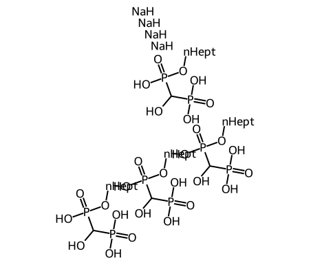 CCCCCCCOP(=O)(O)C(O)P(=O)(O)O.CCCCCCCOP(=O)(O)C(O)P(=O)(O)O.CCCCCCCOP(=O)(O)C(O)P(=O)(O)O.CCCCCCCOP(=O)(O)C(O)P(=O)(O)O.[NaH].[NaH].[NaH].[NaH]